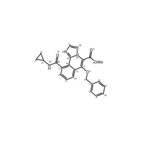 COC(=O)c1c(OCc2ccccc2)c2cccc(C(=O)NC3CC3)c2c2ncnn12